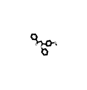 COc1ccc(C(CC(=O)c2ccccc2)Sc2ccccc2)cc1